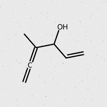 C=C=C(C)C(O)C=C